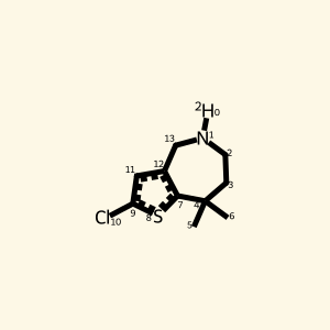 [2H]N1CCC(C)(C)c2sc(Cl)cc2C1